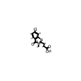 Cn1c(CCC(=O)O)nc2cc(Cl)ccc2c1=O